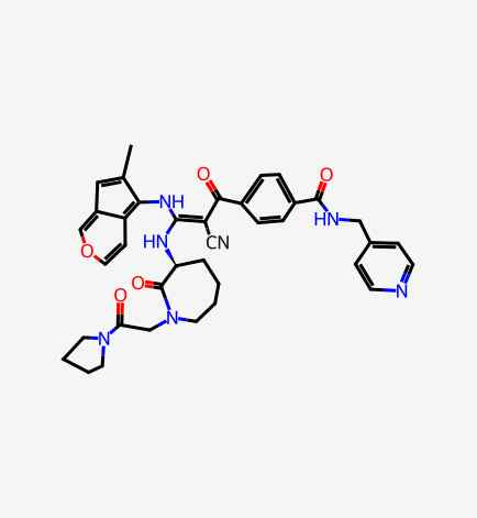 Cc1cc2coccc-2c1NC(N[C@H]1CCCCN(CC(=O)N2CCCC2)C1=O)=C(C#N)C(=O)c1ccc(C(=O)NCc2ccncc2)cc1